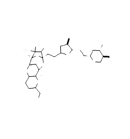 C=C1CO[C@@H](CC[C@@H]2OC(CC[C@@]34OC5CC(OC6CCC(CC=O)O[C@@H]65)[C@@H](O3)C(OC)(OC)C4O)CC2=C)C[C@H]1C